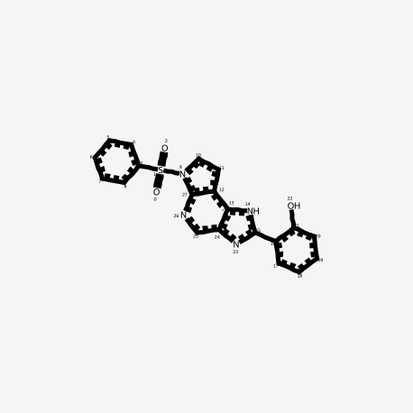 O=S(=O)(c1ccccc1)n1ccc2c3[nH]c(-c4ccccc4O)nc3cnc21